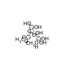 COc1ccc(C2=C(OC(O)c3cc(O)c(O)c(O)c3)Cc3c(O)cc(O)cc3O2)cc1OC